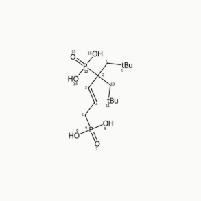 CC(C)(C)CC(C=CCP(=O)(O)O)(CC(C)(C)C)P(=O)(O)O